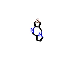 C1=Nc2cscc2Cn2cccc21